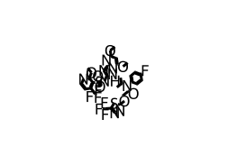 CC(C)N(C(=O)COc1nnc(C(F)(F)F)s1)c1ccc(F)cc1.COc1cc(OC)n2nc(NS(=O)(=O)c3c(C(F)(F)F)ccnc3OC)nc2n1